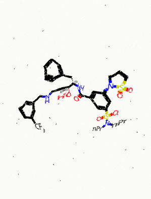 CCCN(CCC)S(=O)(=O)c1cc(C(=O)N[C@@H](Cc2ccccc2)[C@H](O)CNCc2cccc(C(F)(F)F)c2)cc(N2CCCS2(=O)=O)c1